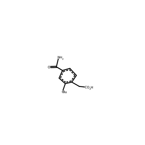 CC(C)(C)c1cc(C(N)=O)ccc1CC(=O)O